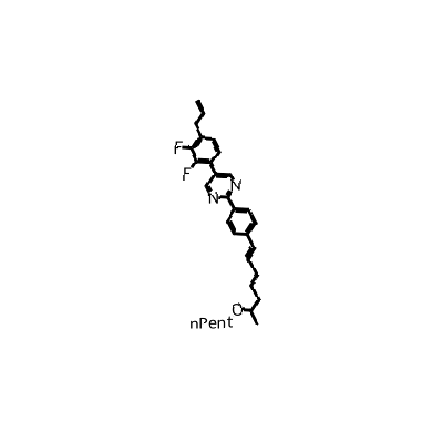 C=CCc1ccc(-c2cnc(-c3ccc(C=CCCCC(C)OCCCCC)cc3)nc2)c(F)c1F